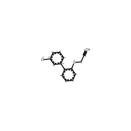 C#CCOc1[c]cccc1-c1cccc(Cl)c1